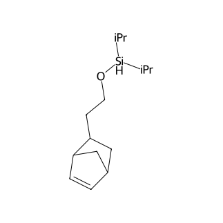 CC(C)[SiH](OCCC1CC2C=CC1C2)C(C)C